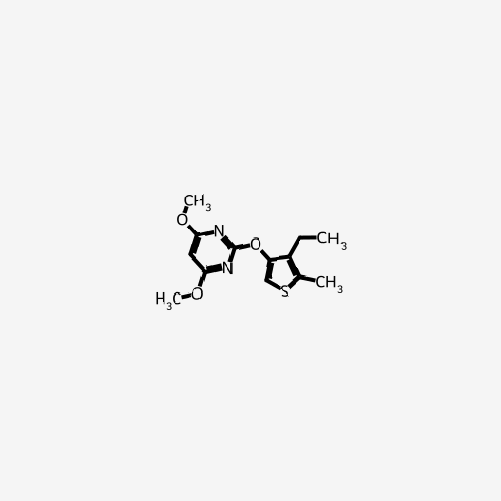 CCc1c(Oc2nc(OC)cc(OC)n2)csc1C